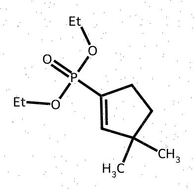 CCOP(=O)(OCC)C1=CC(C)(C)CC1